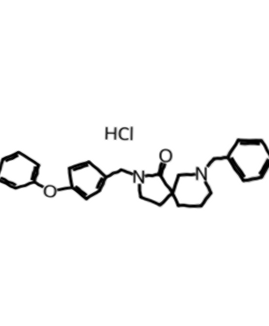 Cl.O=C1N(Cc2ccc(Oc3ccccc3)cc2)CCC12CCCN(Cc1ccccc1)C2